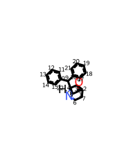 O=C1C2CCN(CC2)[C@H]1C(c1ccccc1)c1ccccc1